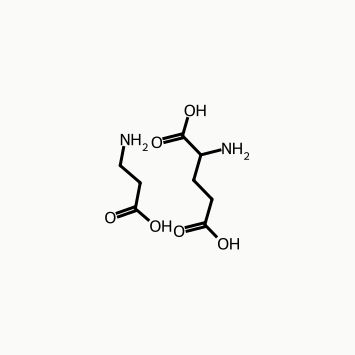 NC(CCC(=O)O)C(=O)O.NCCC(=O)O